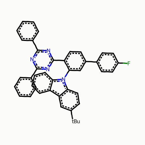 CC(C)(C)c1ccc2c(c1)c1ccccc1n2-c1cc(-c2ccc(F)cc2)ccc1-c1nc(-c2ccccc2)nc(-c2ccccc2)n1